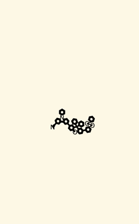 N#Cc1ccc2c(c1)c1cc(-c3ccc4c(c3)C(c3ccccc3)(c3ccccc3)c3cc(-c5cccc(S(=O)(=O)c6ccccc6)c5)ccc3O4)ccc1n2-c1ccccc1